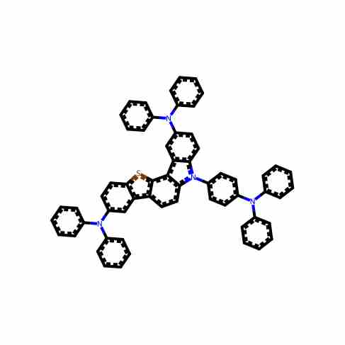 c1ccc(N(c2ccccc2)c2ccc(-n3c4ccc(N(c5ccccc5)c5ccccc5)cc4c4c5sc6ccc(N(c7ccccc7)c7ccccc7)cc6c5ccc43)cc2)cc1